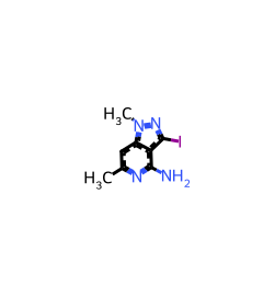 Cc1cc2c(c(N)n1)c(I)nn2C